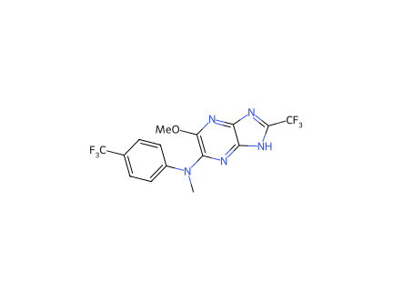 COc1nc2nc(C(F)(F)F)[nH]c2nc1N(C)c1ccc(C(F)(F)F)cc1